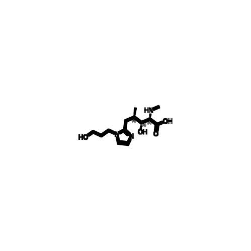 CN[C@H](C(=O)O)[C@H](O)[C@H](C)Cc1nccn1CCCO